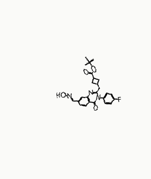 CC(C)(C)OC(=O)C1CC(Cc2nc3cc(C=NO)ccc3c(=O)n2-c2ccc(F)cc2)C1